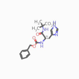 CC(C)(NC(=O)[C@H](Cc1c[nH]cn1)NC(=O)OCc1ccccc1)C(=O)O